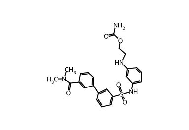 CN(C)C(=O)c1cccc(-c2cccc(S(=O)(=O)Nc3cccc(NCCOC(N)=O)c3)c2)c1